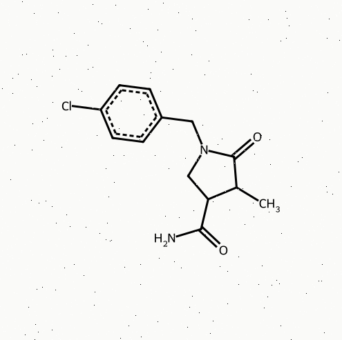 CC1C(=O)N(Cc2ccc(Cl)cc2)CC1C(N)=O